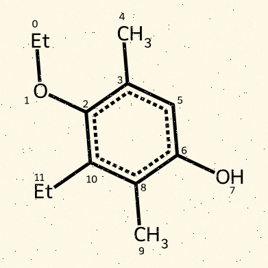 CCOc1c(C)cc(O)c(C)c1CC